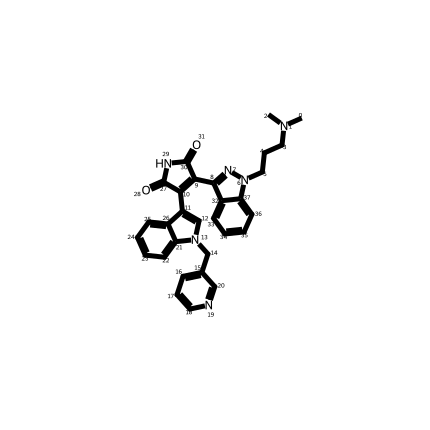 CN(C)CCCn1nc(C2=C(c3cn(Cc4cccnc4)c4ccccc34)C(=O)NC2=O)c2ccccc21